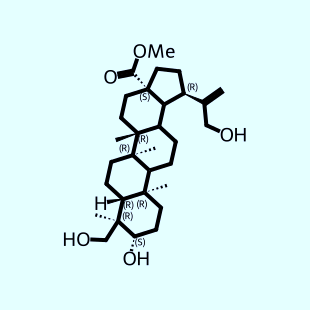 C=C(CO)[C@@H]1CC[C@]2(C(=O)OC)CC[C@]3(C)C(CCC4[C@@]5(C)CC[C@H](O)[C@@](C)(CO)[C@@H]5CC[C@]43C)C12